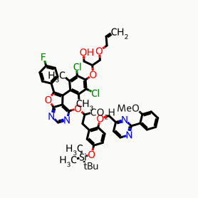 C=CCOCC(CO)Oc1c(Cl)c(C)c(-c2c(-c3ccc(F)cc3)oc3ncnc(OC(Cc4cc(O[Si](C)(C)C(C)(C)C)ccc4OCc4ccnc(-c5ccccc5OC)n4)C(=O)O)c23)c(C)c1Cl